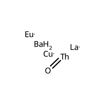 [BaH2].[Cu].[Eu].[La].[O]=[Th]